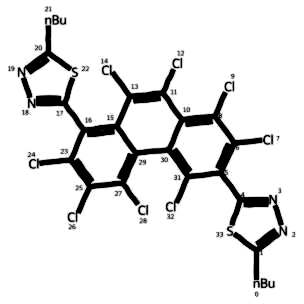 CCCCc1nnc(-c2c(Cl)c(Cl)c3c(Cl)c(Cl)c4c(-c5nnc(CCCC)s5)c(Cl)c(Cl)c(Cl)c4c3c2Cl)s1